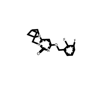 O=c1nc(OCc2cccc(F)c2F)cc2n1CC13CC(CN21)C3